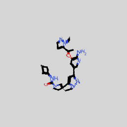 CC(Oc1cc(-c2cc3n(n2)CC[C@@]32CCN(C(=O)NC3CCC3)C2)cnc1N)c1ccnn1C